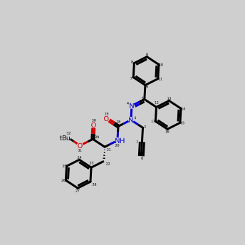 C#CCN(N=C(c1ccccc1)c1ccccc1)C(=O)N[C@H](Cc1ccccc1)C(=O)OC(C)(C)C